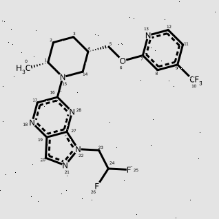 C[C@@H]1CC[C@H](COc2cc(C(F)(F)F)ccn2)CN1c1cnc2cnn(CC(F)F)c2n1